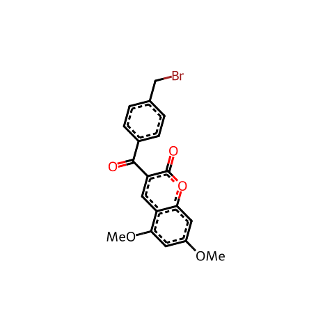 COc1cc(OC)c2cc(C(=O)c3ccc(CBr)cc3)c(=O)oc2c1